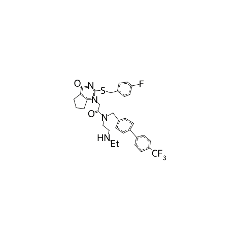 CCNCCN(Cc1ccc(-c2ccc(C(F)(F)F)cc2)cc1)C(=O)Cn1c(SCc2ccc(F)cc2)nc(=O)c2c1CCC2